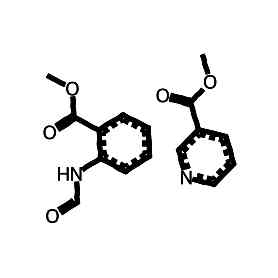 COC(=O)c1ccccc1NC=O.COC(=O)c1cccnc1